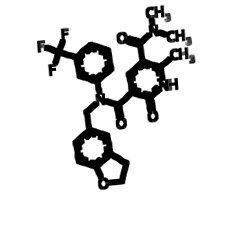 Cc1[nH]c(=O)c(C(=O)N(Cc2ccc3c(c2)CCO3)c2cccc(C(F)(F)F)c2)cc1C(=O)N(C)C